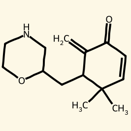 C=C1C(=O)C=CC(C)(C)C1CC1CNCCO1